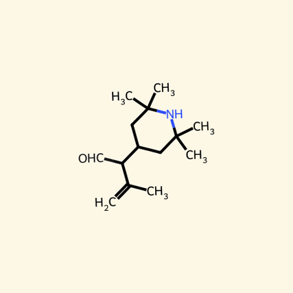 C=C(C)C(C=O)C1CC(C)(C)NC(C)(C)C1